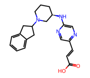 O=C(O)C=Cc1cnc(N[C@@H]2CCCN(C3Cc4ccccc4C3)C2)cn1